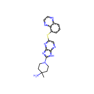 CC1(N)CCN(c2nc3nc(Sc4cccc5nccnc45)cnc3[nH]2)CC1